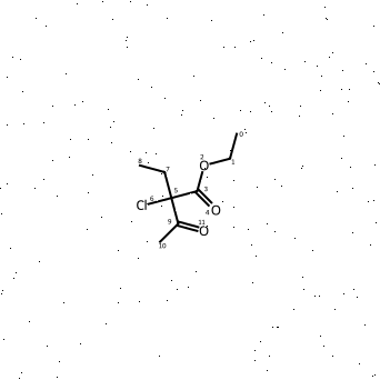 CCOC(=O)C(Cl)(CC)C(C)=O